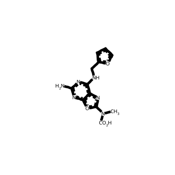 CN(C(=O)O)c1nc2c(NCc3ccco3)nc(N)nc2o1